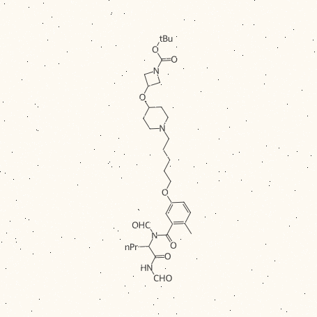 CCCC(C(=O)NC=O)N(C=O)C(=O)c1cc(OCCCCCN2CCC(OC3CN(C(=O)OC(C)(C)C)C3)CC2)ccc1C